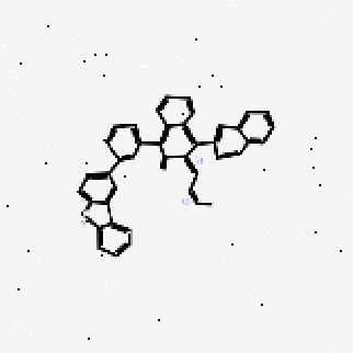 C=c1c(-c2cccc(-c3ccc4sc5ccccc5c4c3)c2)c2ccccc2c(-c2ccc3ccccc3c2)/c1=C/C=C\C